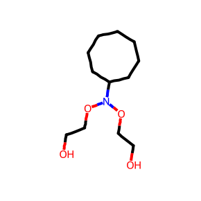 OCCON(OCCO)C1CCCCCCC1